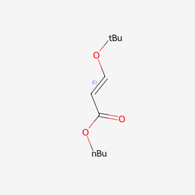 CCCCOC(=O)/C=C/OC(C)(C)C